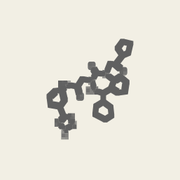 O=C(CN1NC(C2CCCCC2)c2ccccc2N(CC(=O)C2CCCC2)C1=O)Nc1cccc(-c2nn[nH]n2)c1